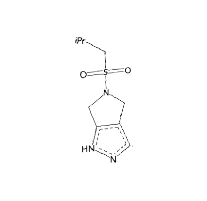 CC(C)CS(=O)(=O)N1Cc2[c]n[nH]c2C1